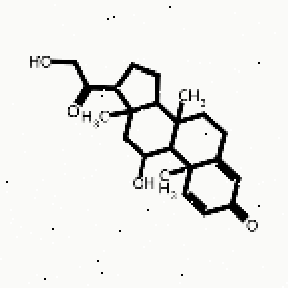 CC12C=CC(=O)C=C1CCC1(C)C2C(O)CC2(C)C(C(=O)CO)CCC21